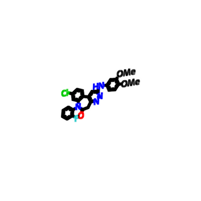 COc1ccc(Nc2cc3c(nn2)CC(=O)N(c2ccccc2F)c2cc(Cl)ccc2-3)cc1OC